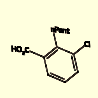 C[CH]CCCc1c(Cl)cccc1C(=O)O